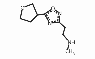 CNCCc1noc(C2CCOC2)n1